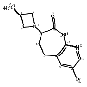 COC1CN(C2CCc3cc(Br)cnc3NC2=O)C1